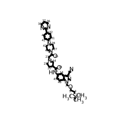 C[Si](C)(C)CCOCn1nc(C#N)c2cc(NC(=O)C3CCN(CC(=O)N4CCN(c5ccc(-c6ncccn6)cc5)CC4)C3)ccc21